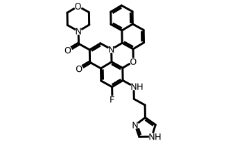 O=C(c1cn2c3c(c(NCCc4c[nH]cn4)c(F)cc3c1=O)Oc1ccc3ccccc3c1-2)N1CCOCC1